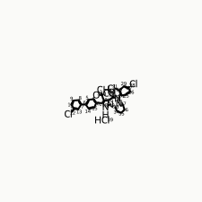 CC1(C)Oc2cc(-c3cccc(Cl)c3)ccc2-c2[nH]nc(C(=O)N(c3ccc(Cl)cc3Cl)N3CCCCC3)c21.Cl